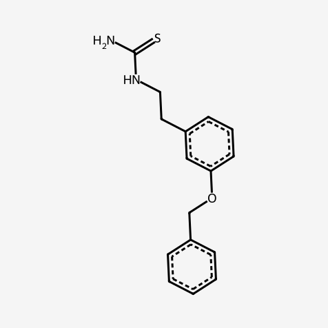 NC(=S)NCCc1cccc(OCc2ccccc2)c1